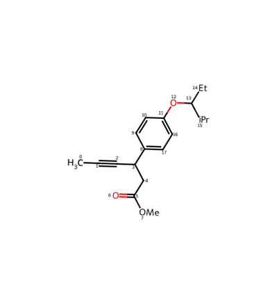 CC#CC(CC(=O)OC)c1ccc(OC(CC)C(C)C)cc1